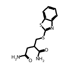 NC(=O)CC(CSc1nc2ccccc2s1)C(N)=O